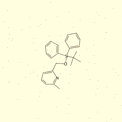 Cc1cccc(CO[Si](c2ccccc2)(c2ccccc2)C(C)(C)C)n1